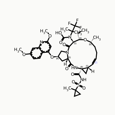 CC[C@@H]1O[C@H](C)CC/C=C\[C@@H]2C[C@@]2(C(=O)NS(=O)(=O)C2(C)CC2)NC(=O)[C@@H]2C[C@@H](Oc3cc(OC)nc4cc(OC)ccc34)CN2C(=O)[C@H]1N(C(=O)O)C(C)(C)C(F)(F)F